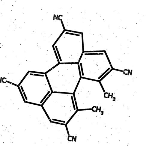 Cc1c(C#N)cc2cc(C#N)cc3c4cc(C#N)cc5cc(C#N)c(C)c(c1c23)c54